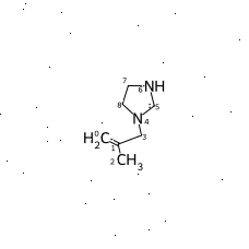 C=C(C)CN1[C]NCC1